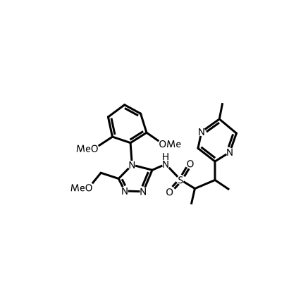 COCc1nnc(NS(=O)(=O)C(C)C(C)c2cnc(C)cn2)n1-c1c(OC)cccc1OC